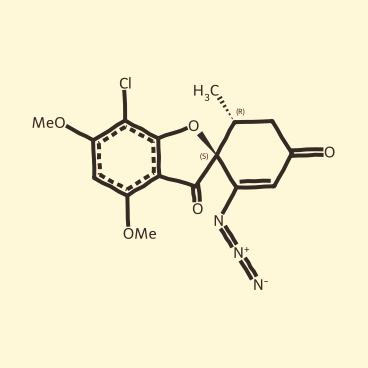 COc1cc(OC)c2c(c1Cl)O[C@]1(C2=O)C(N=[N+]=[N-])=CC(=O)C[C@H]1C